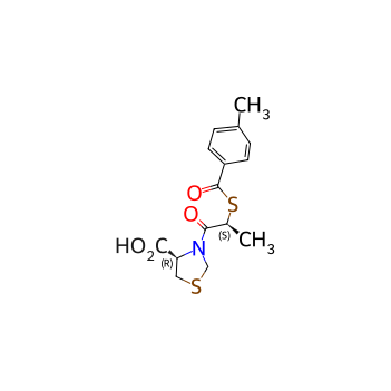 Cc1ccc(C(=O)S[C@@H](C)C(=O)N2CSC[C@H]2C(=O)O)cc1